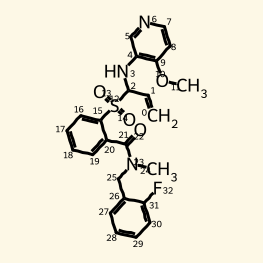 C=CC(Nc1cnccc1OC)S(=O)(=O)c1ccccc1C(=O)N(C)Cc1ccccc1F